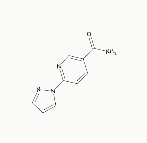 NC(=O)c1ccc(-n2cccn2)nc1